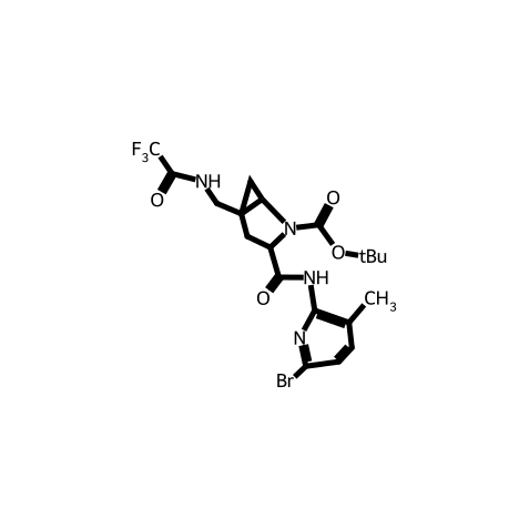 Cc1ccc(Br)nc1NC(=O)C1CC2(CNC(=O)C(F)(F)F)CC2N1C(=O)OC(C)(C)C